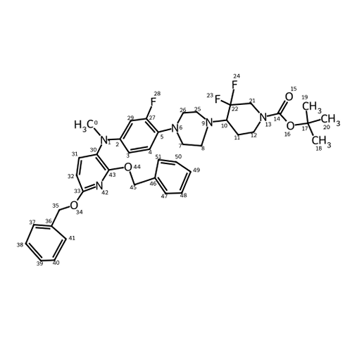 CN(c1ccc(N2CCN(C3CCN(C(=O)OC(C)(C)C)CC3(F)F)CC2)c(F)c1)c1ccc(OCc2ccccc2)nc1OCc1ccccc1